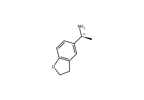 C[C@H](N)c1ccc2c(c1)CCO2